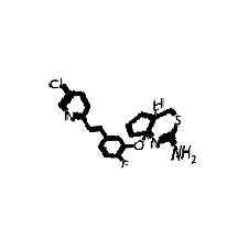 NC1=N[C@]2(Oc3cc(/C=C/c4ccc(Cl)cn4)ccc3F)CCC[C@H]2CS1